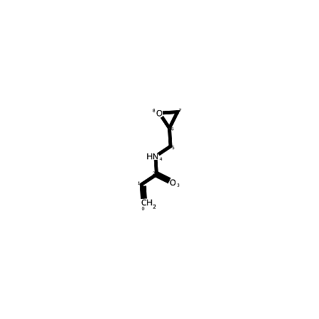 C=CC(=O)NCC1CO1